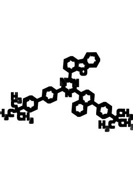 CC(C)(C)c1ccc(-c2ccc(-c3nc(-c4ccc(-c5ccc(C(C)(C)C)cc5)c5ccccc45)nc(-c4cccc5c4oc4ccccc45)n3)cc2)cc1